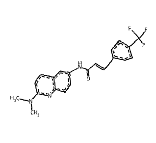 CN(C)c1ccc2cc(NC(=O)/C=C/c3ccc(C(F)(F)F)cc3)ccc2n1